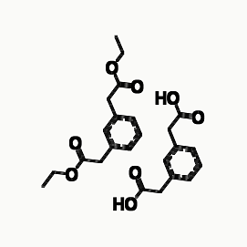 CCOC(=O)Cc1cccc(CC(=O)OCC)c1.O=C(O)Cc1cccc(CC(=O)O)c1